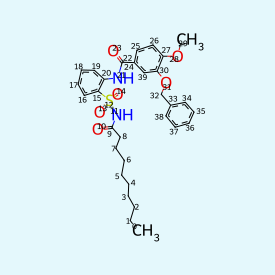 CCCCCCCCCC(=O)NS(=O)(=O)c1ccccc1NC(=O)c1ccc(OC)c(OCc2ccccc2)c1